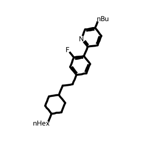 CCCCCCC1CCC(CCc2ccc(-c3ccc(CCCC)cn3)c(F)c2)CC1